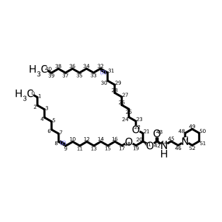 CCCCCCCC/C=C\CCCCCCCCOCC(COCCCCCCCC/C=C\CCCCCCCC)OC(=O)NCCN1CCCCC1